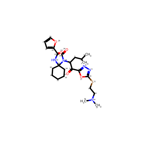 CC(C)CC(C(=O)c1nnc(SCCN(C)C)o1)N(C=O)C1(NC(=O)c2ccco2)CCCCC1